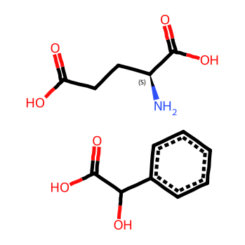 N[C@@H](CCC(=O)O)C(=O)O.O=C(O)C(O)c1ccccc1